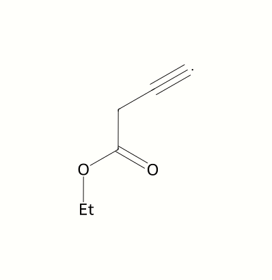 [C]#CCC(=O)OCC